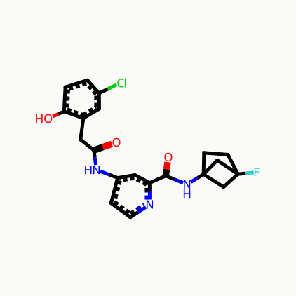 O=C(Cc1cc(Cl)ccc1O)Nc1ccnc(C(=O)NC23CCC(F)(C2)C3)c1